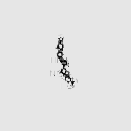 C[C@H](O)C(=O)N1CC[C@H](Oc2ccc(-c3ncnc(Nc4ccc(N5CCN(C6COC6)C[C@@H]5C)cc4)n3)cc2C#N)C(F)(F)C1